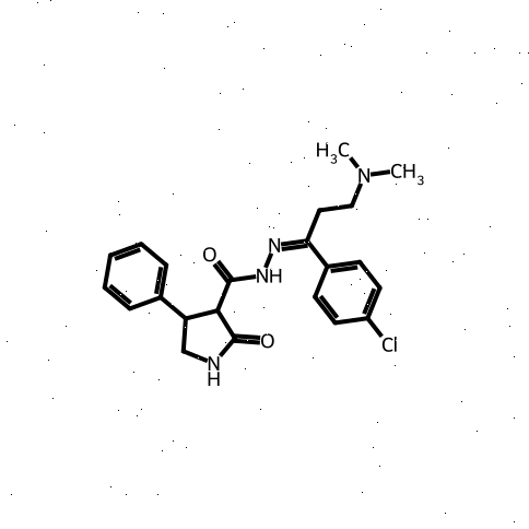 CN(C)CC/C(=N/NC(=O)C1C(=O)NCC1c1ccccc1)c1ccc(Cl)cc1